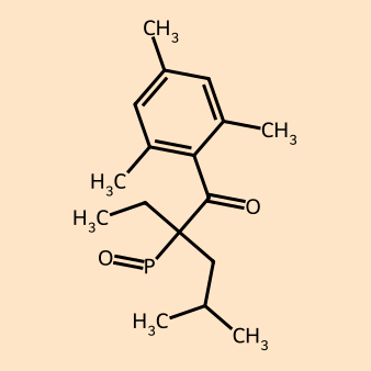 CCC(CC(C)C)(P=O)C(=O)c1c(C)cc(C)cc1C